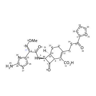 CO/N=C(\C(=O)N[C@@H]1C(=O)C2C(C(=O)O)=C(CSC(=O)c3ccco3)CS[C@@H]21)c1csc(N)n1